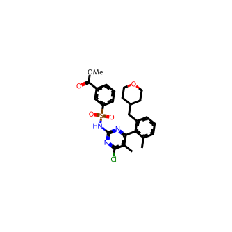 COC(=O)c1cccc(S(=O)(=O)Nc2nc(Cl)c(C)c(-c3c(C)cccc3CC3CCOCC3)n2)c1